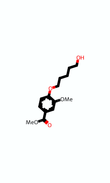 COC(=O)c1ccc(OCCCCCO)c(OC)c1